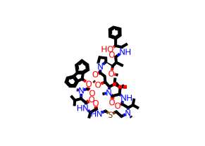 CCC(C)C(C(CC(=O)N1CCC[C@H]1C(OC)C(C)C(=O)NC(C)C(O)c1ccccc1)OC)N(C)C(=O)C(NC(=O)C(C(C)C)N(C)CCSCNC(=O)C(C)NC(=O)C(C(C)C)N(C)C(=O)OC1c2ccccc2-c2ccccc21)C(C)C